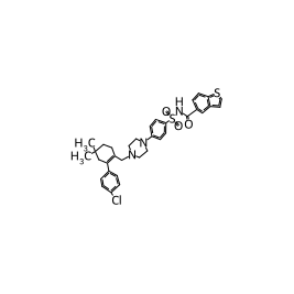 CC1(C)CCC(CN2CCN(c3ccc(S(=O)(=O)NC(=O)c4ccc5sccc5c4)cc3)CC2)=C(c2ccc(Cl)cc2)C1